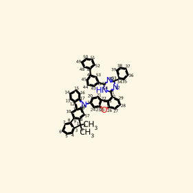 CC1(C)c2ccccc2-c2cc3c4ccccc4n(-c4ccc5c(c4)oc4cccc(C6=NC(c7ccccc7)=NC(c7cccc(-c8ccccc8)c7)N6)c45)c3cc21